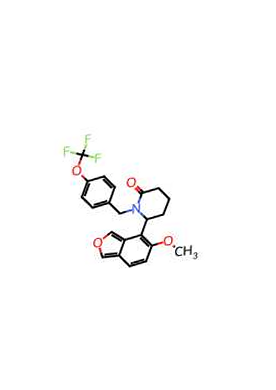 COc1ccc2cocc2c1C1CCCC(=O)N1Cc1ccc(OC(F)(F)F)cc1